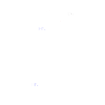 CC(C)(C)OC(=O)NCCc1ccc2c(c1)NCCC2